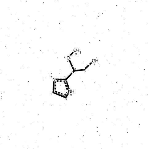 COC(CO)c1ncc[nH]1